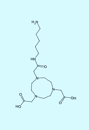 NCCCCCNC(=O)CN1CCN(CC(=O)O)CCN(CC(=O)O)CC1